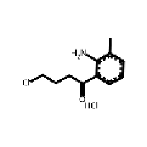 Cc1cccc(C(=O)CCCCl)c1N.Cl